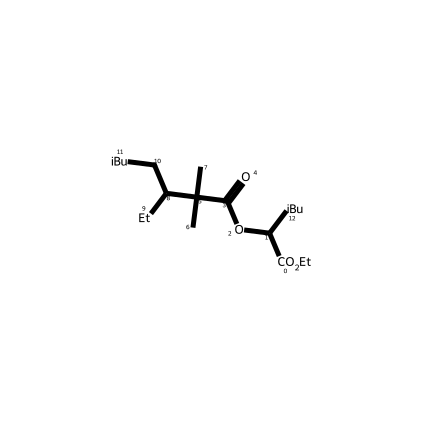 CCOC(=O)C(OC(=O)C(C)(C)C(CC)CC(C)CC)C(C)CC